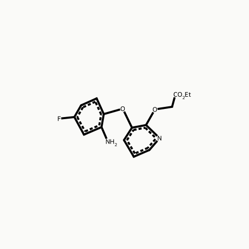 CCOC(=O)COc1ncccc1Oc1ccc(F)cc1N